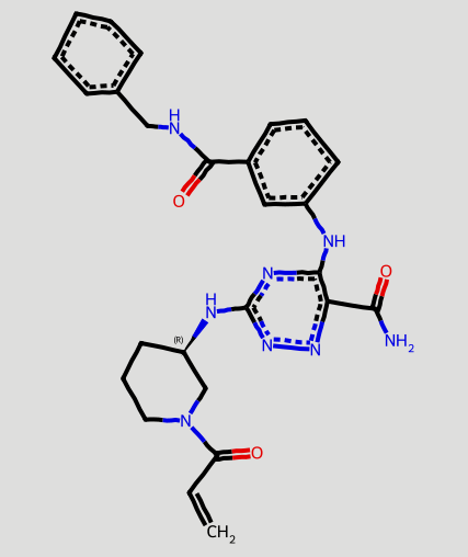 C=CC(=O)N1CCC[C@@H](Nc2nnc(C(N)=O)c(Nc3cccc(C(=O)NCc4ccccc4)c3)n2)C1